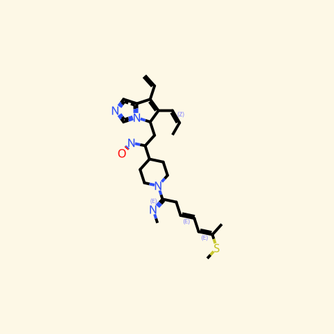 C=CC1=C(/C=C\C)C(CC(N=O)C2CCN(/C(C/C=C/C=C(\C)SC)=N/C)CC2)n2cncc21